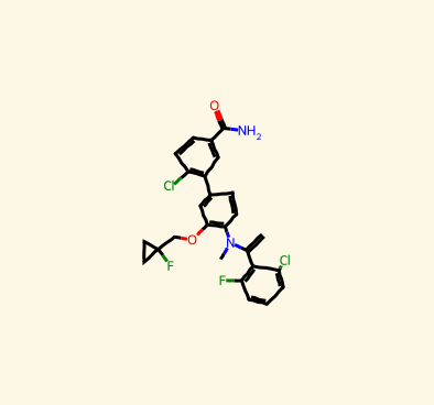 C=C(c1c(F)cccc1Cl)N(C)c1ccc(-c2cc(C(N)=O)ccc2Cl)cc1OCC1(F)CC1